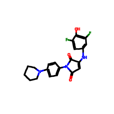 O=C1C=C(Nc2cc(F)c(O)c(F)c2)C(=O)N1c1ccc(N2CCCCC2)cc1